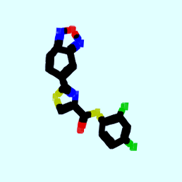 O=C(Sc1ccc(Cl)cc1Cl)c1csc(-c2ccc3nonc3c2)n1